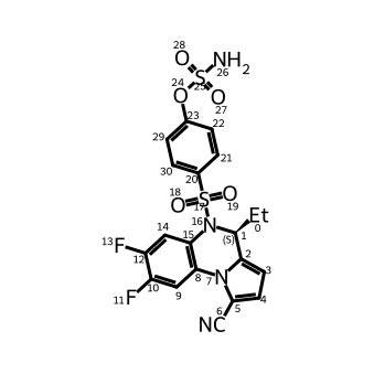 CC[C@H]1c2ccc(C#N)n2-c2cc(F)c(F)cc2N1S(=O)(=O)c1ccc(OS(N)(=O)=O)cc1